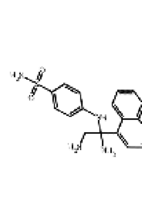 NCC(N)(Nc1ccc(S(N)(=O)=O)cc1)c1cccc2ccccc12